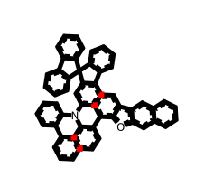 c1ccc(-c2ccccc2N(c2ccc3c(c2)C2(c4ccccc4-c4ccccc42)c2ccccc2-3)c2ccccc2-c2cccc3c2oc2cc4ccccc4cc23)cc1